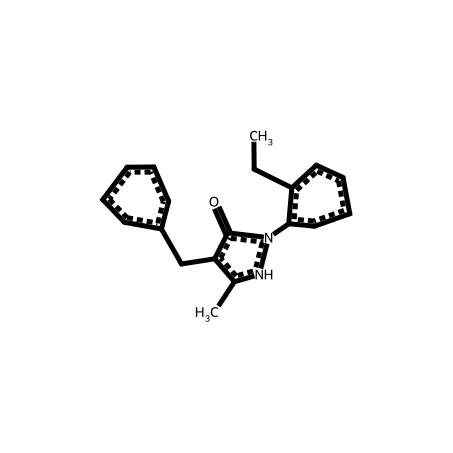 CCc1ccccc1-n1[nH]c(C)c(Cc2ccccc2)c1=O